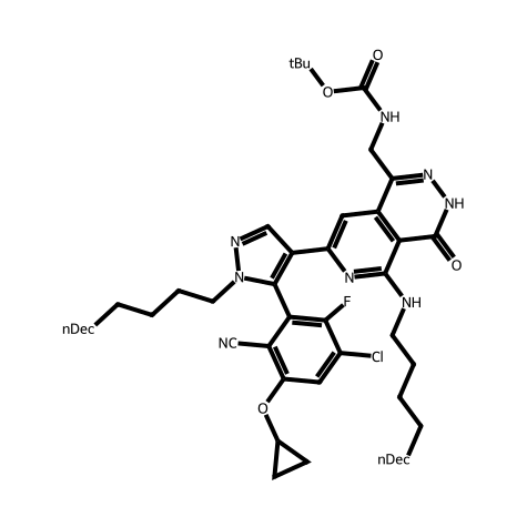 CCCCCCCCCCCCCCNc1nc(-c2cnn(CCCCCCCCCCCCCC)c2-c2c(F)c(Cl)cc(OC3CC3)c2C#N)cc2c(CNC(=O)OC(C)(C)C)n[nH]c(=O)c12